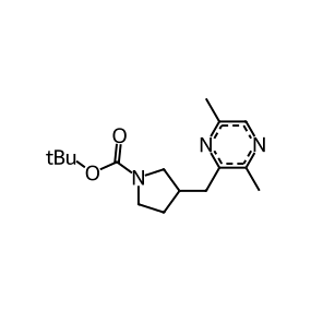 Cc1cnc(C)c(CC2CCN(C(=O)OC(C)(C)C)C2)n1